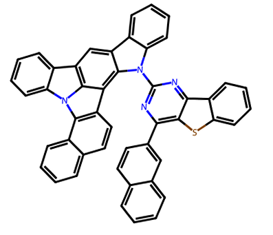 c1ccc2cc(-c3nc(-n4c5ccccc5c5cc6c7ccccc7n7c8c9ccccc9ccc8c(c54)c67)nc4c3sc3ccccc34)ccc2c1